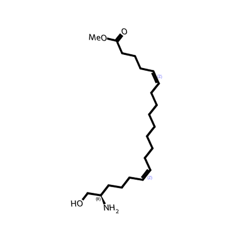 COC(=O)CCC/C=C\CCCCCCC/C=C\CCC[C@@H](N)CO